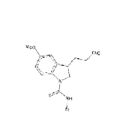 CCNC(=S)N1CC(CCC=O)c2cc(OC)ccc21